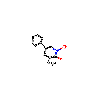 O=C(O)c1cc(-c2ccccc2)cn(O)c1=O